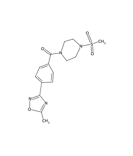 Cc1nc(-c2ccc(C(=O)N3CCN(S(C)(=O)=O)CC3)cc2)no1